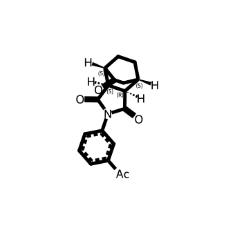 CC(=O)c1cccc(N2C(=O)[C@@H]3[C@H]4CC[C@H](C(=O)C4)[C@@H]3C2=O)c1